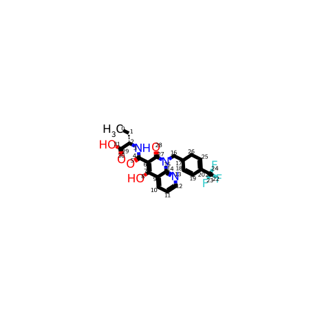 CC[C@H](NC(=O)c1c(O)c2cccnc2n(CC2C=CC(C(F)(F)F)=CC2)c1=O)C(=O)O